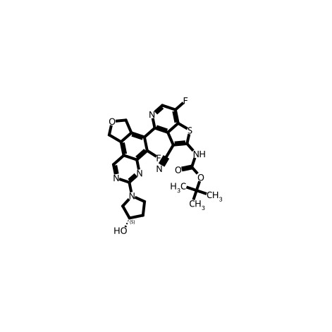 CC(C)(C)OC(=O)Nc1sc2c(F)cnc(-c3c4c(c5cnc(N6CC[C@H](O)C6)nc5c3F)COC4)c2c1C#N